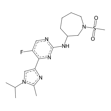 Cc1nc(-c2nc(NC3CCCCN(S(C)(=O)=O)C3)ncc2F)cn1C(C)C